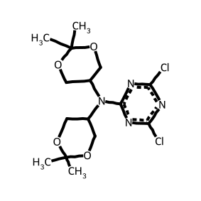 CC1(C)OCC(N(c2nc(Cl)nc(Cl)n2)C2COC(C)(C)OC2)CO1